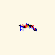 CN1CCN(CCNC(=O)c2ccc(-c3cc4nccc(Oc5ccc(NC(=O)NC6CC6)cc5F)c4s3)nc2)CC1